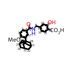 COc1ccc(C(=O)NCc2ccc(C(=O)O)c(O)c2)cc1C12CC3CC(CC(C3)C1)C2